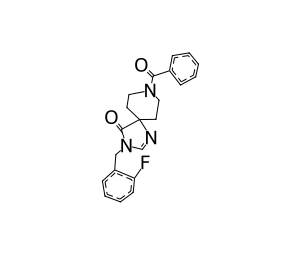 O=C(c1ccccc1)N1CCC2(CC1)N=CN(Cc1ccccc1F)C2=O